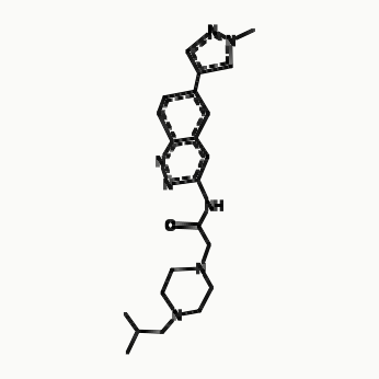 CC(C)CN1CCN(CC(=O)Nc2cc3cc(-c4cnn(C)c4)ccc3nn2)CC1